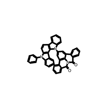 O=c1c2ccccc2c2cc(-n3c4ccccc4c4ccc5c(c6ccccc6n5-c5ccccc5)c43)cc3c4ccccc4c(=O)n1c23